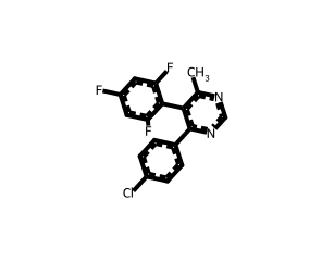 Cc1ncnc(-c2ccc(Cl)cc2)c1-c1c(F)cc(F)cc1F